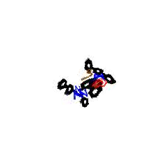 c1ccc(-c2ccc(-c3nc(-c4ccccc4)nc(-c4ccc(-n5c6ccccc6c6ccc7c8ccccc8sc7c65)c5oc6ccccc6c45)n3)cc2)cc1